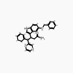 NC(=O)CC(c1c[nH]c2ccc(OCc3ccccc3)cc12)C(C1=CC=CCC1)C1=COC=CO1